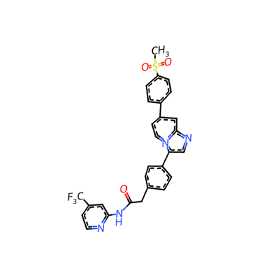 CS(=O)(=O)c1ccc(-c2ccn3c(-c4ccc(CC(=O)Nc5cc(C(F)(F)F)ccn5)cc4)cnc3c2)cc1